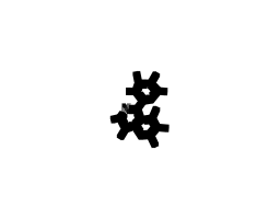 Cc1cc(-c2nc(C)c(C)c3cc(C)c(C)c(C)c23)c(C)c(C)c1C